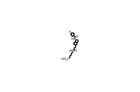 O=C(O)CCCCCNC(=O)/C=C/c1ccc2c(c1)CCC2NC(=O)c1ccc(F)cc1